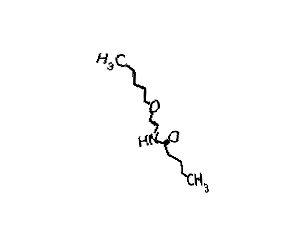 CCCCCOCCNC(=O)CCCC